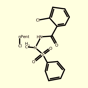 CCCCCCl.CN(NC(=O)c1ccccc1Cl)S(=O)(=O)c1ccccc1